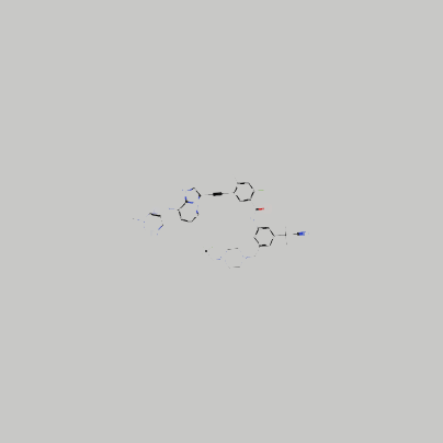 Cc1cc(F)c(C(=O)Nc2cc(CN3CCN(CC(F)(F)F)CC3)cc(C(C)(C)C#N)c2)cc1C#Cc1cnc2c(N/C(C=N)=C/N(C)C)cccn12